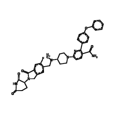 CN(Cc1cc2c(cc1F)C(=O)N(C1CCC(=O)NC1=O)C2)C1CCN(c2ccc(C(N)=O)c(-c3ccc(Oc4ccccc4)cc3)n2)CC1